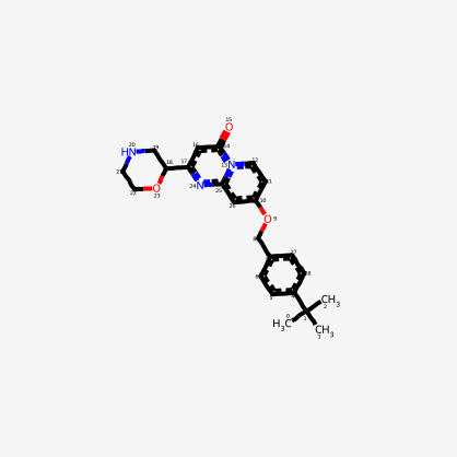 CC(C)(C)c1ccc(COc2ccn3c(=O)cc(C4CNCCO4)nc3c2)cc1